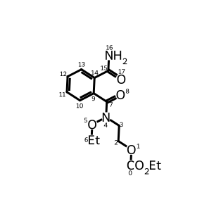 CCOC(=O)OCCN(OCC)C(=O)c1ccccc1C(N)=O